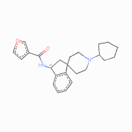 O=C(N[C@H]1CC2(CCN(C3CCCCC3)CC2)c2ccccc21)c1ccoc1